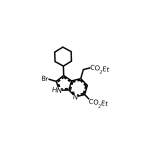 CCOC(=O)Cc1cc(C(=O)OCC)nc2[nH]c(Br)c(C3CCCCC3)c12